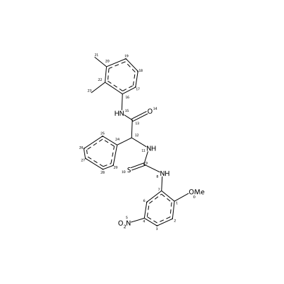 COc1ccc([N+](=O)[O-])cc1NC(=S)NC(C(=O)Nc1cccc(C)c1C)c1ccccc1